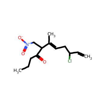 C=CC(Cl)C/C=C(\C)C(C[N+](=O)[O-])C(=O)CCC